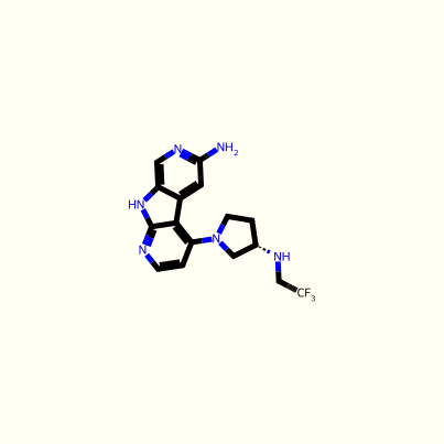 Nc1cc2c(cn1)[nH]c1nccc(N3CC[C@H](NCC(F)(F)F)C3)c12